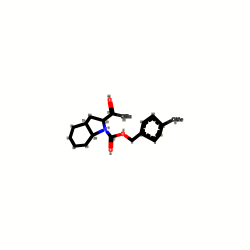 COc1ccc(COC(=O)N2C(C(=O)OCC(C)C)CC3CCCCC32)cc1